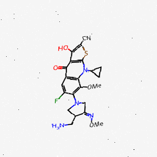 CON=C1CN(c2c(F)cc3c(=O)c4c(O)c(C#N)sc4n(C4CC4)c3c2OC)CC1CN